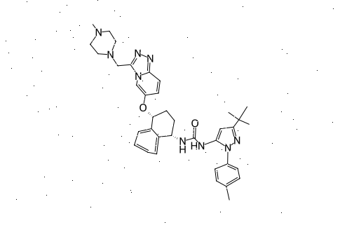 Cc1ccc(-n2nc(C(C)(C)C)cc2NC(=O)N[C@H]2CC[C@@H](Oc3ccc4nnc(CN5CCN(C)CC5)n4c3)c3ccccc32)cc1